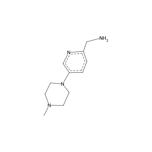 CN1CCN(c2ccc(CN)nc2)CC1